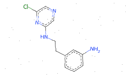 Nc1cccc(CCNc2cncc(Cl)n2)c1